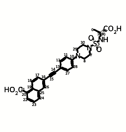 C[C@@H](NS(=O)(=O)N1CCN(c2ccc(C#Cc3ccc4c(C(=O)O)cccc4c3)cc2)CC1)C(=O)O